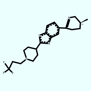 C[C@H]1CCC(c2ccc3sc(C4CCN(CCC(F)(F)F)CC4)nc3c2)=NC1